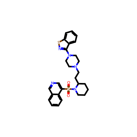 O=S(=O)(c1cncc2ccccc12)N1CCCCC1CCN1CCN(c2nsc3ccccc23)CC1